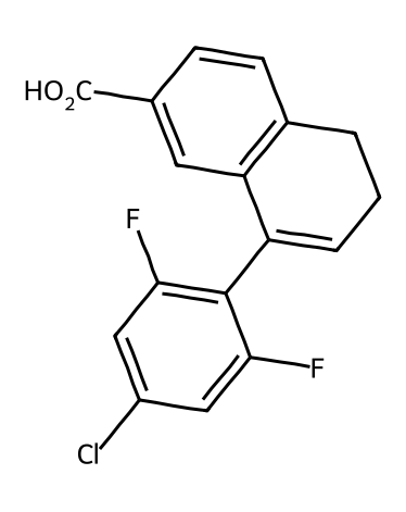 O=C(O)c1ccc2c(c1)C(c1c(F)cc(Cl)cc1F)=CCC2